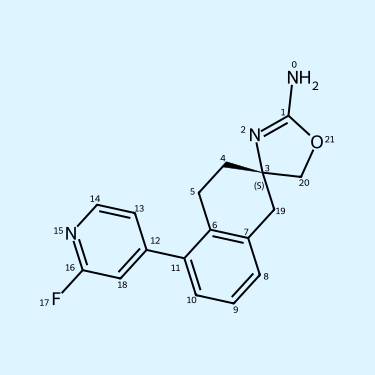 NC1=N[C@]2(CCc3c(cccc3-c3ccnc(F)c3)C2)CO1